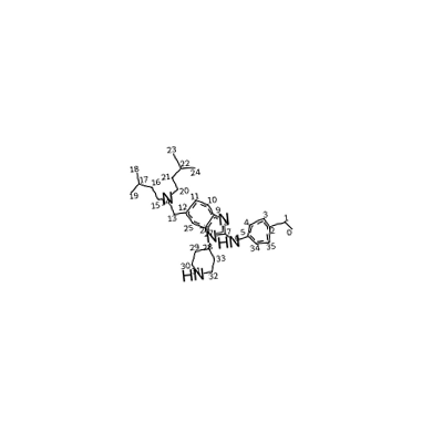 CCc1ccc(Nc2nc3ccc(CN(CCC(C)C)CCC(C)C)cc3n2C2CCNCC2)cc1